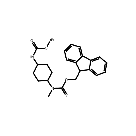 CN(C(=O)OCC1c2ccccc2-c2ccccc21)C1CCC(NC(=O)OC(C)(C)C)CC1